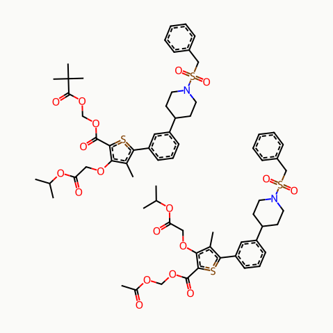 CC(=O)OCOC(=O)c1sc(-c2cccc(C3CCN(S(=O)(=O)Cc4ccccc4)CC3)c2)c(C)c1OCC(=O)OC(C)C.Cc1c(-c2cccc(C3CCN(S(=O)(=O)Cc4ccccc4)CC3)c2)sc(C(=O)OCOC(=O)C(C)(C)C)c1OCC(=O)OC(C)C